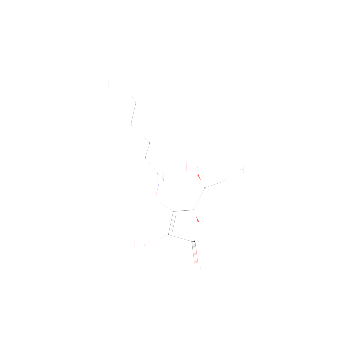 CCCCCNOC1=C(O)C(=O)O[C@@H]1[C@@H](O)CO